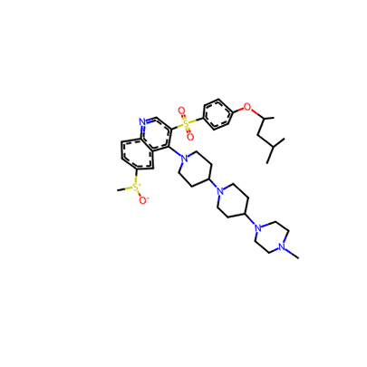 CC(C)CC(C)Oc1ccc(S(=O)(=O)c2cnc3ccc([S+](C)[O-])cc3c2N2CCC(N3CCC(N4CCN(C)CC4)CC3)CC2)cc1